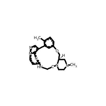 Cc1ccc2cc1-c1cnn3ccc(nc13)NCCN1CCN(C)C[C@@H]1CO2